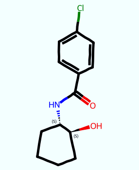 O=C(N[C@H]1CCCC[C@@H]1O)c1ccc(Cl)cc1